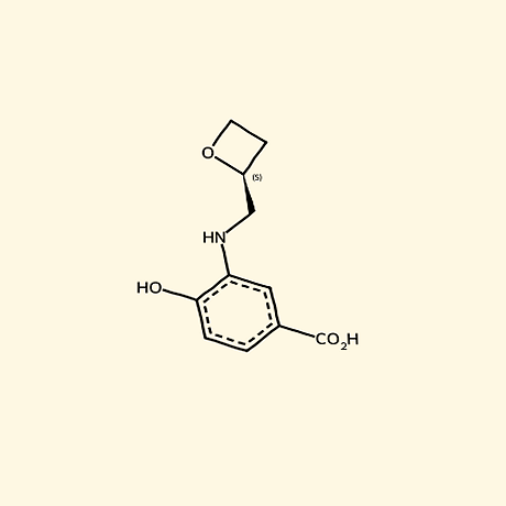 O=C(O)c1ccc(O)c(NC[C@@H]2CCO2)c1